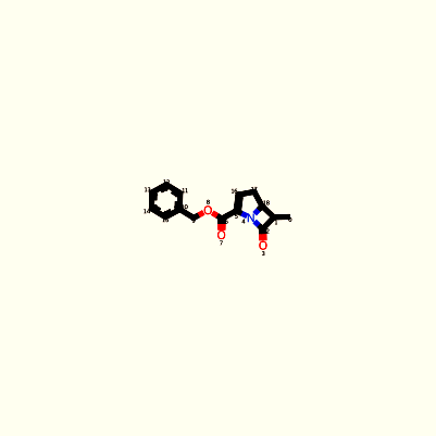 CC1C(=O)N2C(C(=O)OCc3ccccc3)=CCC12